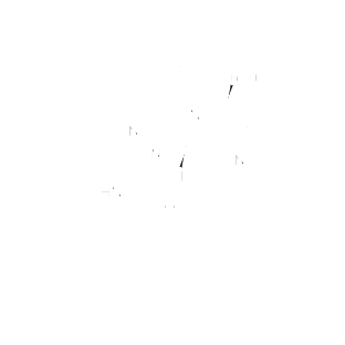 CCCC[C@H]1C(=O)N(Cc2cccc3ccccc23)C[C@H]2N1C(=O)CN(C)N2C(=O)NCc1ccccc1